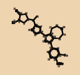 CCN1CC(C(C)n2cc(-c3nn(-c4cnc(OC)c(F)c4)c4c3CCOCC4)cn2)CC1=O